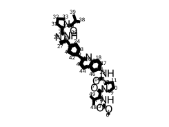 COC(=O)N[C@H](C(=O)N1CCC[C@H]1C(=O)Nc1ccc2nc(-c3ccc(-c4cnc(C5CCCN5C(=O)C(C)C)[nH]4)cc3)ccc2c1)C(C)C